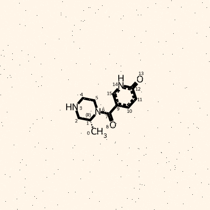 C[C@@H]1CNCCN1C(=O)c1ccc(=O)[nH]c1